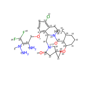 CN(N)/C(=C(\N)COc1ccc(Cl)c2c1C(CN1CC3(CC3)CC1=O)N(C(=O)C1C(O)CCCC1C(=O)O)CC2)C(F)F